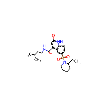 CCC1CCCCN1S(=O)(=O)c1ccc2[nH]c(=O)cc(C(=O)NCCC(C)C)c2c1